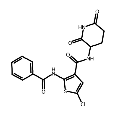 O=C1CCC(NC(=O)c2cc(Cl)sc2NC(=O)c2ccccc2)C(=O)N1